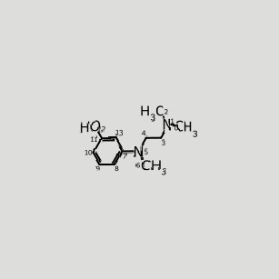 CN(C)CCN(C)c1cccc(O)c1